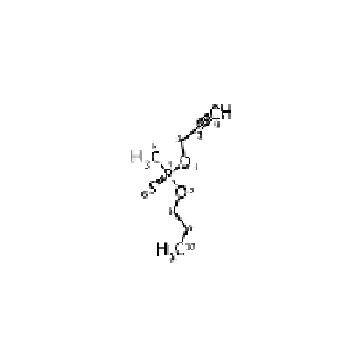 C#CCOP(C)(=S)OCCC